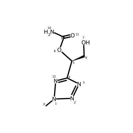 Cn1nnc([C@H](CO)OC(N)=O)n1